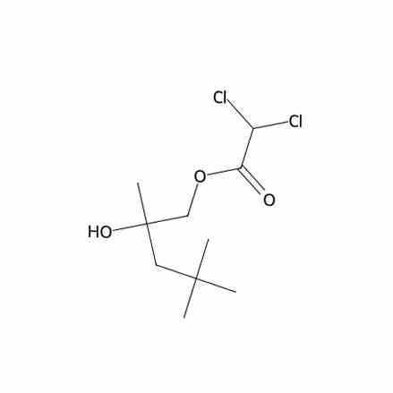 CC(C)(C)CC(C)(O)COC(=O)C(Cl)Cl